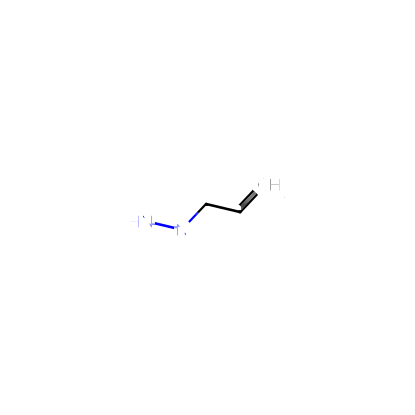 C=CC[N][NH]